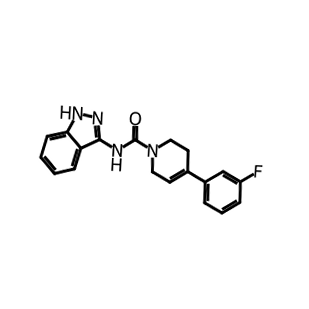 O=C(Nc1n[nH]c2ccccc12)N1CC=C(c2cccc(F)c2)CC1